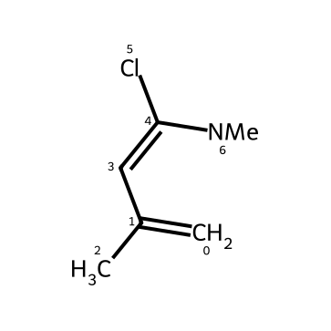 C=C(C)/C=C(/Cl)NC